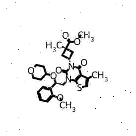 COc1ccccc1[C@H](Cn1c(=O)n([C@H]2C[C@@](C)(C(=O)OC)C2)c(=O)c2c(C)csc21)OC1CCOCC1